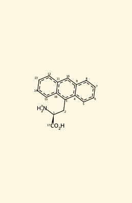 N[C@@H](Cc1c2ccccc2cc2ccccc12)C(=O)O